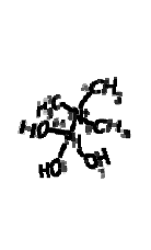 C[N+](C)(C)[PH](O)(O)O